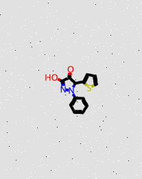 O=C1C(O)=NN(c2ccccc2)C1c1cccs1